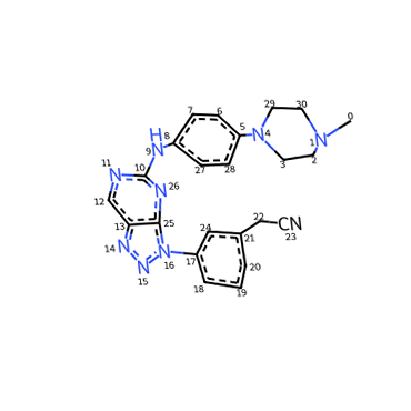 CN1CCN(c2ccc(Nc3ncc4nnn(-c5cccc(CC#N)c5)c4n3)cc2)CC1